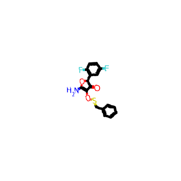 NC1=C(OSCc2ccccc2)C(=O)C(c2cc(F)ccc2F)O1